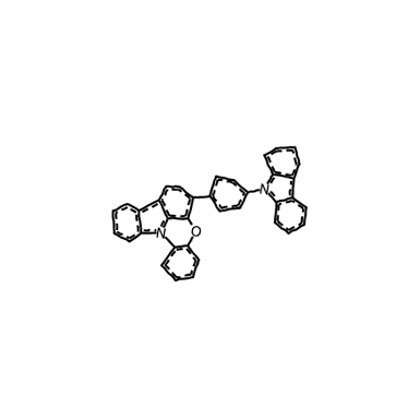 c1ccc2c(c1)Oc1c(-c3ccc(-n4c5ccccc5c5ccccc54)cc3)ccc3c4ccccc4n-2c13